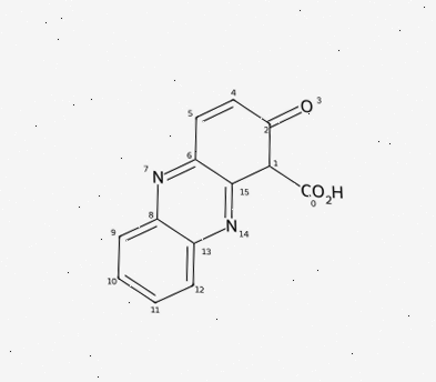 O=C(O)C1C(=O)C=Cc2nc3ccccc3nc21